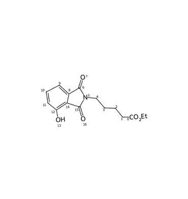 CCOC(=O)CCCCN1C(=O)c2cccc(O)c2C1=O